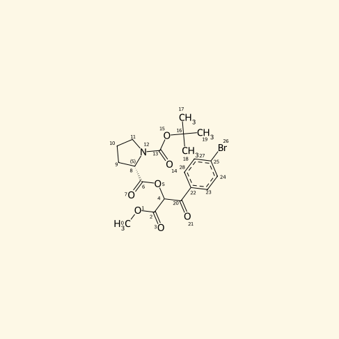 COC(=O)C(OC(=O)[C@@H]1CCCN1C(=O)OC(C)(C)C)C(=O)c1ccc(Br)cc1